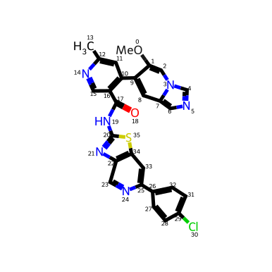 COc1cn2cncc2cc1-c1cc(C)ncc1C(=O)Nc1nc2cnc(-c3ccc(Cl)cc3)cc2s1